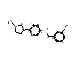 O[C@@H]1CCN(c2ncc(OCc3cccc(F)c3)cn2)C1